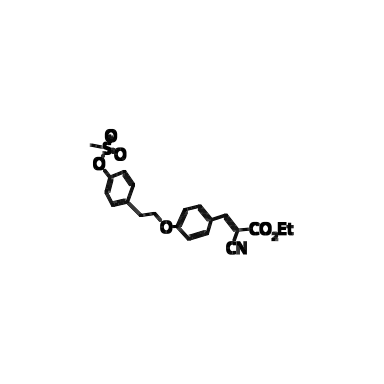 CCOC(=O)C(C#N)=Cc1ccc(OCCc2ccc(OS(C)(=O)=O)cc2)cc1